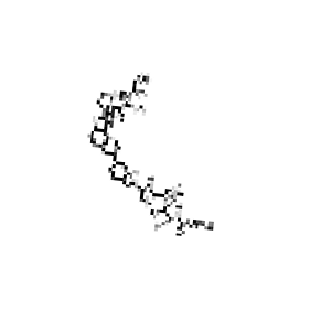 COC(=O)NC(C(=O)N1C[Si](C)(C)CC1c1ncc(-c2cc3ccc(-c4ccc5c(ccc6nc([C@@H]7CCCN7C(=O)C(NC(=O)CO)C(C)C)[nH]c65)c4)cc3o2)[nH]1)C(C)C